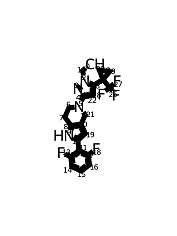 CCn1nc(N2CCc3[nH]c(-c4c(F)cccc4F)cc3C2)cc1C1(C(F)(F)F)CC1